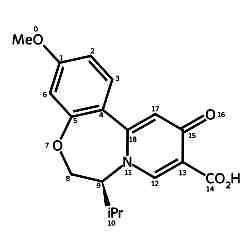 COc1ccc2c(c1)OC[C@H](C(C)C)n1cc(C(=O)O)c(=O)cc1-2